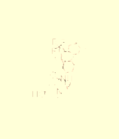 CC(=O)N1CC[C@H](O)CC1C(=O)Nc1ccc(-c2ccccc2OC(F)(F)F)c(Cl)c1